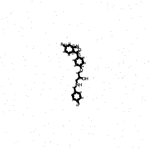 OC(CNCc1ccc(F)cc1)COc1ccc(-c2onc3cc(F)ccc23)cc1